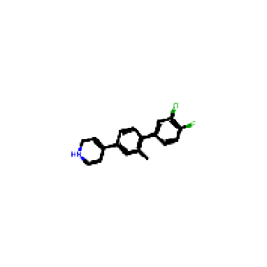 Cc1cc(C2=CCNCC2)ccc1-c1ccc(F)c(Cl)c1